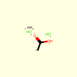 CC(=O)O.Cl.Cl.[InH3]